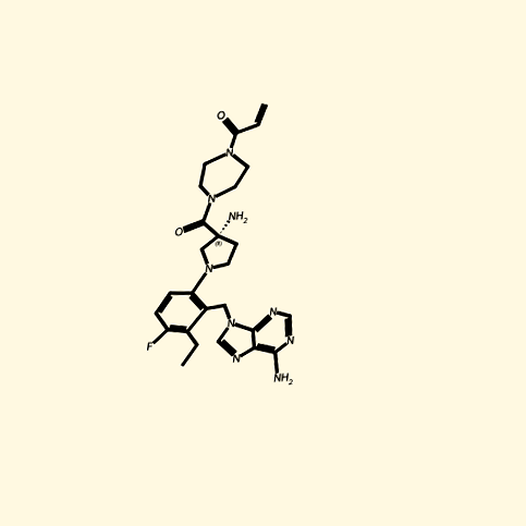 C=CC(=O)N1CCN(C(=O)[C@@]2(N)CCN(c3ccc(F)c(CC)c3Cn3cnc4c(N)ncnc43)C2)CC1